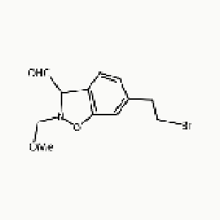 COCN1Oc2cc(CCBr)ccc2C1C=O